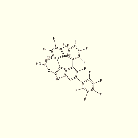 OB(O)Oc1[nH]c2cc(-c3c(F)c(F)c(F)c(F)c3F)c(F)c(-c3c(F)c(F)c(F)c(F)c3F)c2c1-c1c(F)c(F)c(F)c(F)c1F